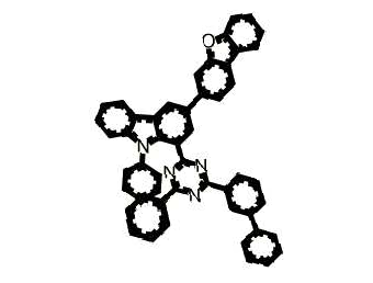 c1ccc(-c2cccc(-c3nc(-c4ccccc4)nc(-c4cc(-c5ccc6c(c5)oc5ccccc56)cc5c6ccccc6n(-c6ccccc6)c45)n3)c2)cc1